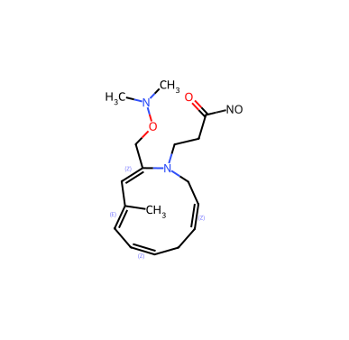 CC1=C\C=C/C/C=C\CN(CCC(=O)N=O)/C(CON(C)C)=C\1